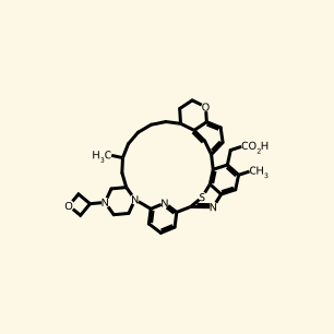 Cc1cc2nc3sc2c(c1CC(=O)O)-c1ccc2c(c1)C(CCCCC(C)CC1CN(C4COC4)CCN1c1cccc-3n1)CCO2